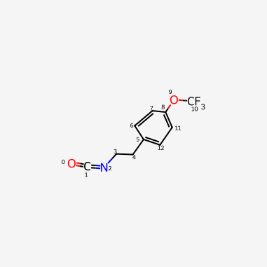 O=C=NCCc1ccc(OC(F)(F)F)cc1